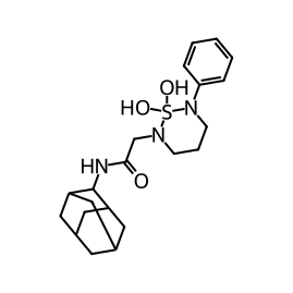 O=C(CN1CCCN(c2ccccc2)S1(O)O)NC1C2CC3CC(C2)CC1C3